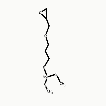 CS[SiH](SC)SCCCOCC1CO1